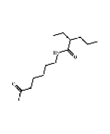 CCCC(CC)C(=O)NCCCCCC(C)=O